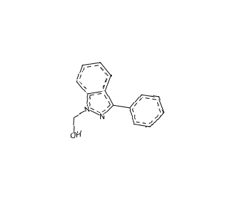 OCn1nc(-c2ccccc2)c2ccccc21